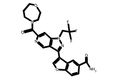 NC(=O)c1ccc2occ(-c3nn(CC(F)(F)F)c4cc(C(=O)N5CCCOCC5)ncc34)c2c1